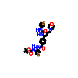 CC(C)(C)OC(=O)Nc1cscc1NC(=O)c1ccc(C(CCCN2CCOCC2)NC(=O)Nc2ccsc2)cc1